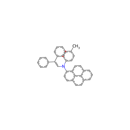 Cc1ccc(N(C=C(c2ccccc2)c2ccccc2)c2ccc3ccc4cccc5ccc2c3c45)cc1